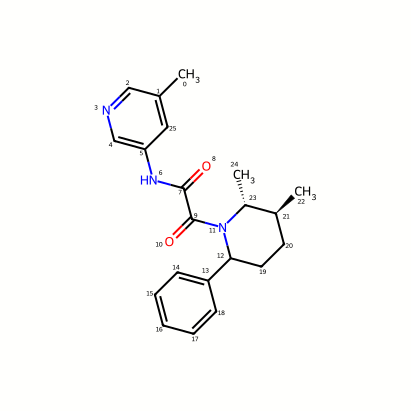 Cc1cncc(NC(=O)C(=O)N2C(c3ccccc3)CC[C@H](C)[C@H]2C)c1